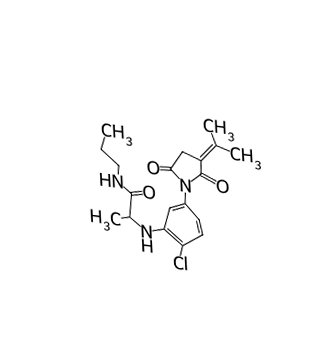 CCCNC(=O)C(C)Nc1cc(N2C(=O)CC(=C(C)C)C2=O)ccc1Cl